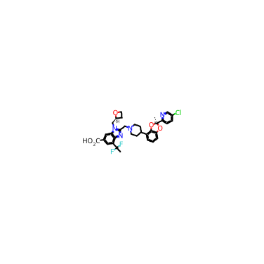 CC(F)(F)c1cc(C(=O)O)cc2c1nc(CN1CCC(c3cccc4c3O[C@@](C)(c3ccc(Cl)cn3)O4)CC1)n2C[C@@H]1CCO1